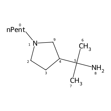 CCCCCN1CCC(C(C)(C)N)C1